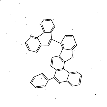 c1ccc(-c2nc3ccccc3c3c2ccc2c3sc3cccc(-c4cc5cccnc5c5ncccc45)c32)cc1